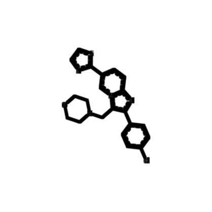 Clc1ccc(-c2nc3ccc(-c4nccs4)cn3c2CN2CCOCC2)cc1